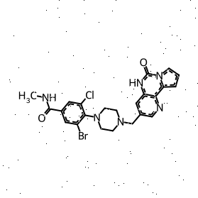 CNC(=O)c1cc(Cl)c(N2CCN(Cc3cnc4c(c3)[nH]c(=O)n3cccc43)CC2)c(Br)c1